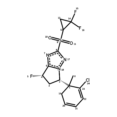 CC1([C@@H]2C[C@H](F)c3nc(S(=O)(=O)C4CC4(F)F)nn32)CC=CC=C1Cl